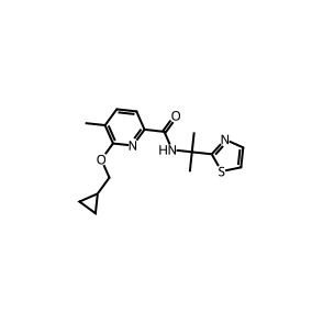 Cc1ccc(C(=O)NC(C)(C)c2nccs2)nc1OCC1CC1